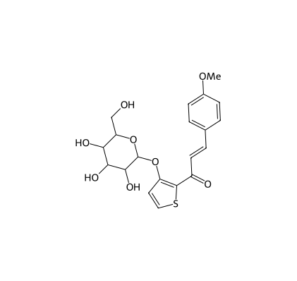 COc1ccc(C=CC(=O)c2sccc2OC2OC(CO)C(O)C(O)C2O)cc1